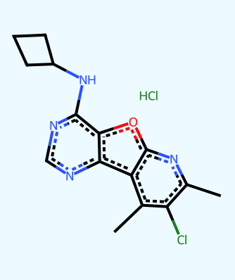 Cc1nc2oc3c(NC4CCC4)ncnc3c2c(C)c1Cl.Cl